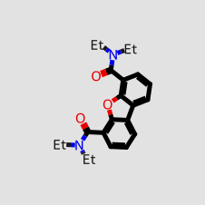 CCN(CC)C(=O)c1cccc2c1oc1c(C(=O)N(CC)CC)cccc12